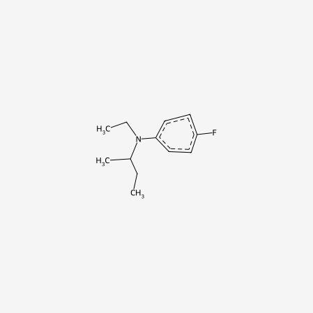 CCC(C)N(CC)c1ccc(F)cc1